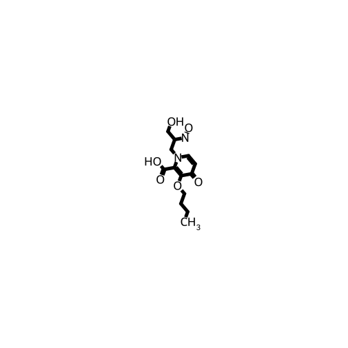 CCCCOc1c(C(=O)O)n(CC(CO)N=O)ccc1=O